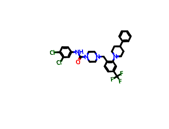 O=C(Nc1ccc(Cl)c(Cl)c1)N1CCN(Cc2ccc(C(F)(F)F)cc2N2CCC(c3ccccc3)CC2)CC1